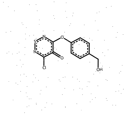 O=c1c(Cl)nsnc1Oc1ccc(CO)cc1